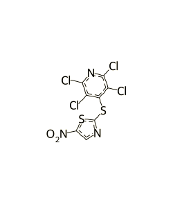 O=[N+]([O-])c1cnc(Sc2c(Cl)c(Cl)nc(Cl)c2Cl)s1